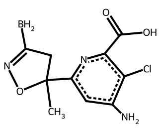 BC1=NOC(C)(c2cc(N)c(Cl)c(C(=O)O)n2)C1